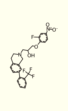 O=[N+]([O-])c1ccc(OCC(O)CN2CCc3ccc(-c4ccccc4C(F)(F)F)cc3C2)c(F)c1